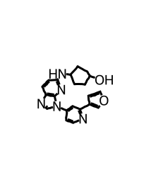 OC1CCC(Nc2ccc3ncn(-c4ccnc(-c5ccoc5)c4)c3n2)CC1